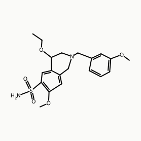 CCOC1CN(Cc2cccc(OC)c2)Cc2cc(OC)c(S(N)(=O)=O)cc21